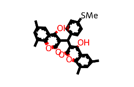 CSc1ccc(C(c2c(O)c3cc(C)cc(C)c3oc2=O)c2c(O)c3cc(C)cc(C)c3oc2=O)cc1